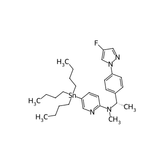 CCC[CH2][Sn]([CH2]CCC)([CH2]CCC)[c]1ccc(N(C)[C@@H](C)c2ccc(-n3cc(F)cn3)cc2)nc1